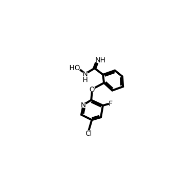 N=C(NO)c1ccccc1Oc1ncc(Cl)cc1F